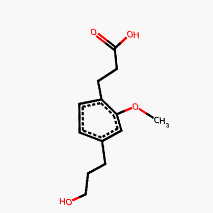 COc1cc(CCCO)ccc1CCC(=O)O